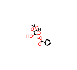 CC1(C)OC2C(O)[C@@H](COC(=O)c3ccccc3)O[C@@H]2O1